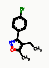 CCc1c(-c2ccc(Br)cc2)noc1C